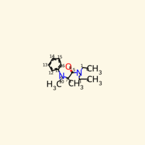 CCN(CC)C(=O)C(C)N(C)c1ccccc1